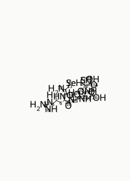 N=C(N)NCCC[C@H](NC(=O)[C@@H](N)C[SeH])C(=O)NCC(=O)N[C@@H](CC(=O)O)C(=O)N[C@@H](CS)C(=O)O